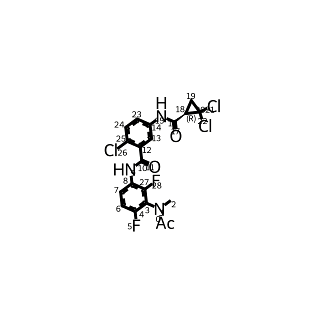 CC(=O)N(C)c1c(F)ccc(NC(=O)c2cc(NC(=O)[C@H]3CC3(Cl)Cl)ccc2Cl)c1F